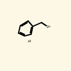 I.[Zn][CH2]c1ccccc1